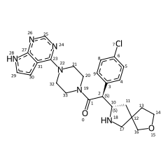 O=C([C@@H](c1ccc(Cl)cc1)[C@@H]1CC2(CCOC2)CN1)N1CCN(c2ncnc3[nH]ccc23)CC1